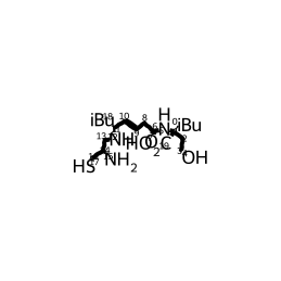 CCC(C)[C@@](CCO)(NC(=O)C/C=C/[C@@H](NC[C@@H](N)CS)[C@@H](C)CC)C(=O)O